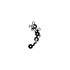 O=C1CCC(N2Cc3cc(C4CCN(CCCc5ccccc5)CC4)c(F)cc3C2=O)C(=O)N1